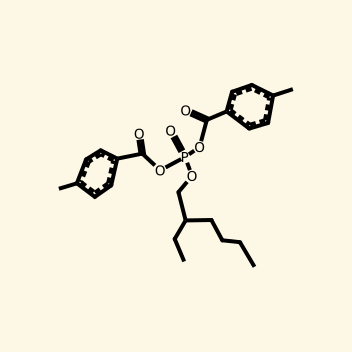 CCCCC(CC)COP(=O)(OC(=O)c1ccc(C)cc1)OC(=O)c1ccc(C)cc1